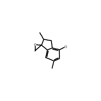 Cc1cc(Cl)c2c(c1)C1(CO1)C(C)C2